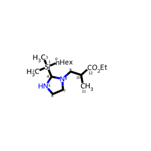 CCCCCC[Si](C)(C)C1NCCN1CC(C)C(=O)OCC